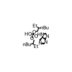 CCCCC(CC)COP(=O)(O)OCC(CC)CCCC.c1ncc2[nH]cnc2n1